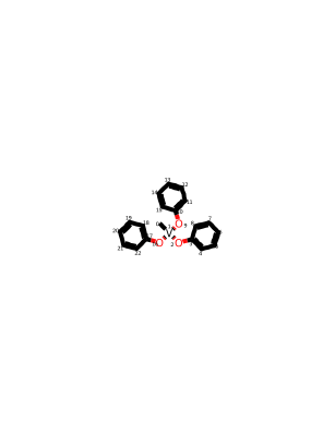 [CH3][V]([O]c1ccccc1)([O]c1ccccc1)[O]c1ccccc1